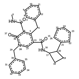 CNC(=O)c1c(Cc2ccccc2)c(C(=O)NC2CCC2c2ccccc2)cn(Cc2ccccc2)c1=O